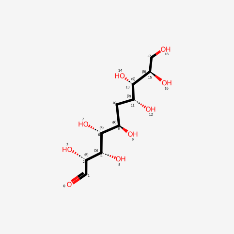 O=C[C@H](O)[C@@H](O)[C@H](O)[C@H](O)C[C@@H](O)[C@H](O)[C@H](O)CO